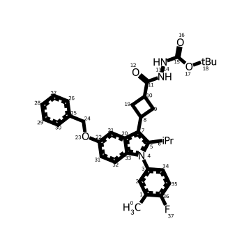 Cc1cc(-n2c(C(C)C)c(C3CC(C(=O)NNC(=O)OC(C)(C)C)C3)c3cc(OCc4ccccc4)ccc32)ccc1F